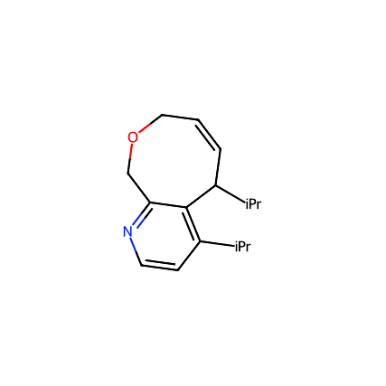 CC(C)c1ccnc2c1C(C(C)C)/C=C\COC2